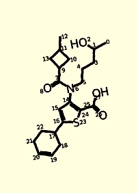 CC(O)CCCN(C(=O)C1CC(C)C1)c1cc(C2CC=CCC2)sc1C(=O)O